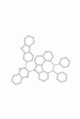 c1ccc(C2c3cccc4ccc5c(c34)c3c(cccc3n5-c3nc4ccccc4nc3-c3ccc4c(c3)oc3ccccc34)C2c2ccccc2)cc1